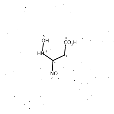 O=NC(CC(=O)O)NO